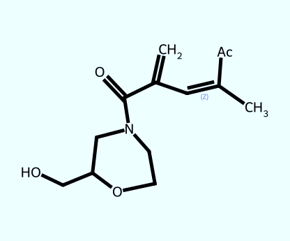 C=C(/C=C(/C)C(C)=O)C(=O)N1CCOC(CO)C1